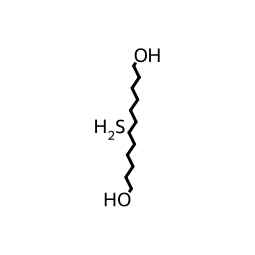 OCCCCCCCCCCCCO.S